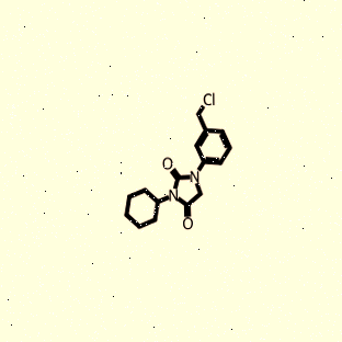 O=C1CN(c2cccc(CCl)c2)C(=O)N1C1CCCCC1